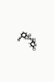 N#Cc1cccc(C(=O)NNc2ccc(Cl)nn2)c1